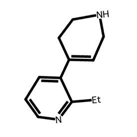 CCc1ncccc1C1=CCNCC1